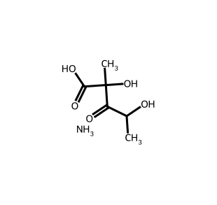 CC(O)C(=O)C(C)(O)C(=O)O.N